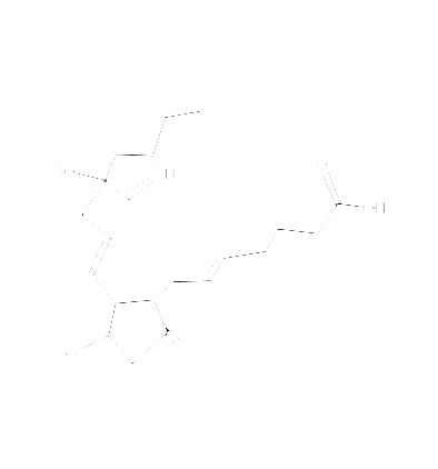 C=CC(O)(CC=CC1C(O)CC(=O)C1CC=CCCCC(=O)O)CCCC